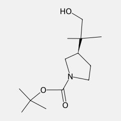 CC(C)(C)OC(=O)N1CC[C@H](C(C)(C)CO)C1